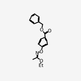 CCOC(C)=NOc1ccc(C(=O)OCc2ccccc2)cc1